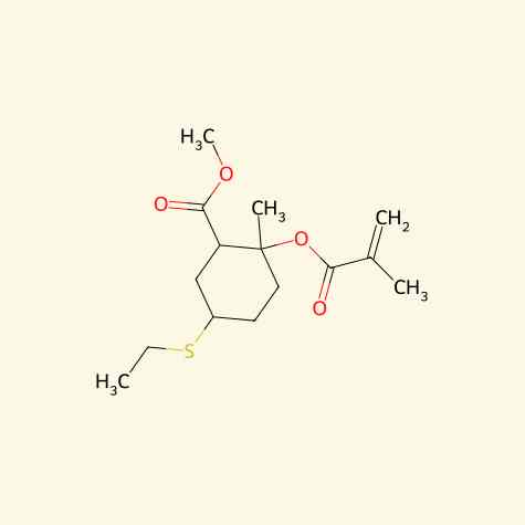 C=C(C)C(=O)OC1(C)CCC(SCC)CC1C(=O)OC